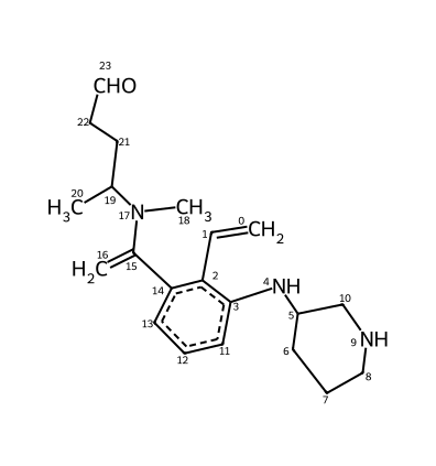 C=Cc1c(NC2CCCNC2)cccc1C(=C)N(C)C(C)CCC=O